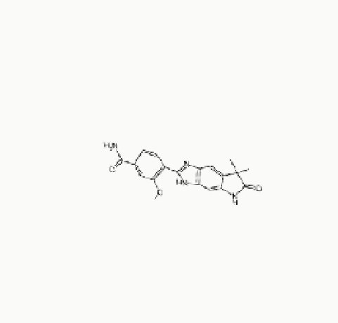 COc1cc(C(N)=O)ccc1-c1nc2cc3c(cc2[nH]1)NC(=O)C3(C)C